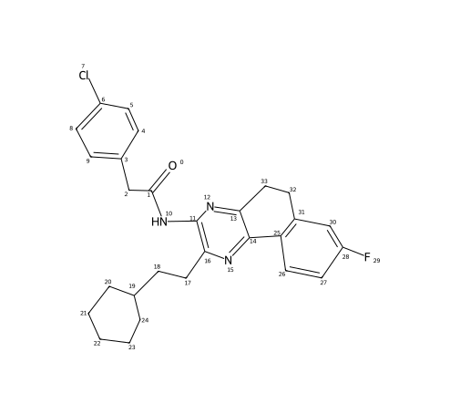 O=C(Cc1ccc(Cl)cc1)Nc1nc2c(nc1CCC1CCCCC1)-c1ccc(F)cc1CC2